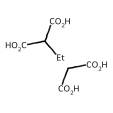 CCC(C(=O)O)C(=O)O.O=C(O)CC(=O)O